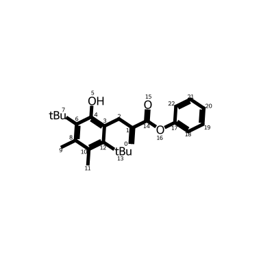 C=C(Cc1c(O)c(C(C)(C)C)c(C)c(C)c1C(C)(C)C)C(=O)Oc1ccccc1